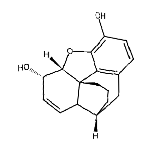 Oc1ccc2c3c1O[C@H]1[C@@H](O)C=CC4[C@H](CCC[C@@]341)C2